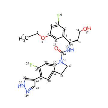 CCOc1cc(F)cc([C@@H](CCO)NC(=O)N2CCc3cc(-c4cn[nH]c4)c(F)cc32)c1